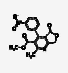 COC(=O)c1c(C)nc2c(c1-c1cccc([N+](=O)[O-])c1)C(=O)OC2